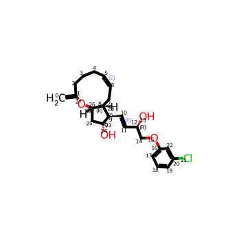 C=C1CCC/C=C\C[C@@H]2[C@@H](/C=C/[C@@H](O)COc3cccc(Cl)c3)[C@H](O)C[C@@H]2O1